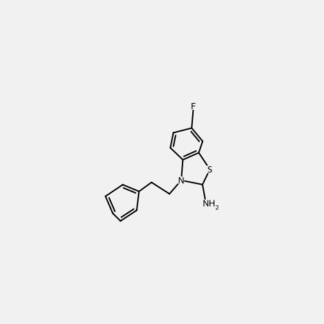 NC1Sc2cc(F)ccc2N1CCc1ccccc1